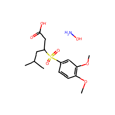 COc1ccc(S(=O)(=O)C(CC(=O)O)CC(C)C)cc1OC.NO